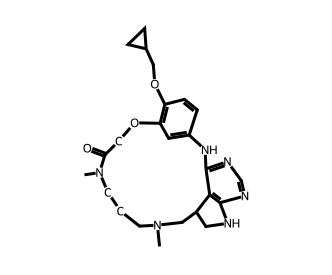 CN1CCCN(C)C(=O)COc2cc(ccc2OCC2CC2)Nc2ncnc3c2C(CN3)C1